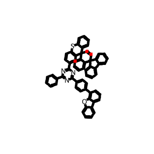 c1ccc(-c2nc(-c3ccc(-c4cccc5c4oc4ccccc45)cc3)nc(-c3ccc4c(c3)C3(c5ccccc5S4)c4ccccc4C4(c5ccccc5-c5ccccc54)c4ccccc43)n2)cc1